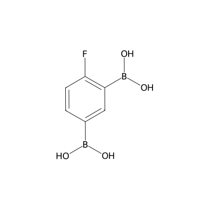 OB(O)c1ccc(F)c(B(O)O)c1